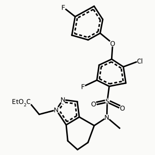 CCOC(=O)Cn1ncc2c1CCCC2N(C)S(=O)(=O)c1cc(Cl)c(Oc2ccc(F)cc2)cc1F